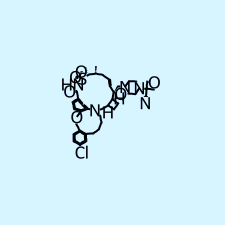 CO[C@@]1(CN2CCN(C3(C#N)COC3)CC2)/C=C/C[C@H](C)[C@@H](C)S(=O)(=O)NC(=O)c2ccc3c(c2)N(CCCCc2cc(Cl)ccc2CO3)C[C@@H]2CC[C@H]21